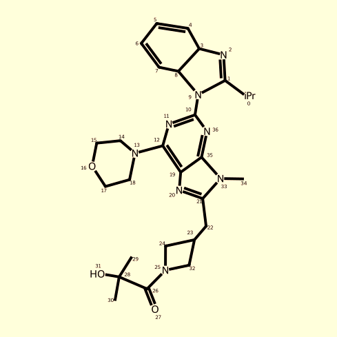 CC(C)C1=NC2C=CC=CC2N1c1nc(N2CCOCC2)c2nc(CC3CN(C(=O)C(C)(C)O)C3)n(C)c2n1